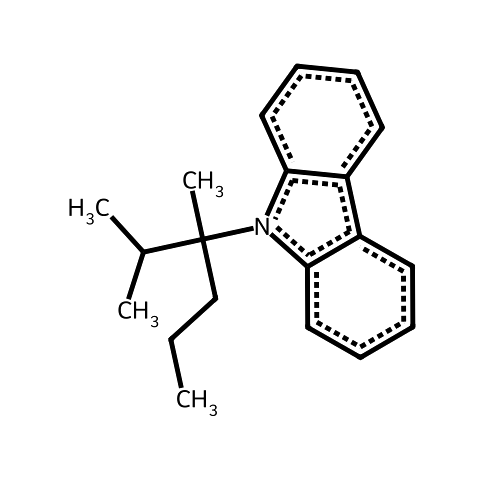 CCCC(C)(C(C)C)n1c2ccccc2c2ccccc21